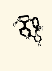 CC(C)CN1CCNCC1c1cc(C2N(Cl)C=CN2c2ccccc2)ccn1